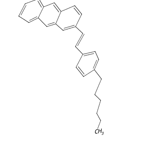 CCCCCCc1ccc(C=Cc2ccc3cc4ccccc4cc3c2)cc1